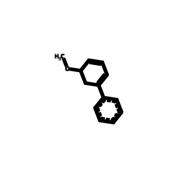 CO[C]1C=CC=C(c2ccccc2)C1